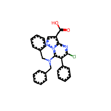 O=C(O)c1cnn2c(N(Cc3ccccc3)Cc3ccccc3)c(-c3ccccc3)c(Cl)nc12